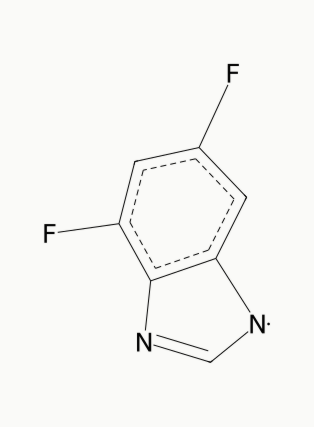 Fc1cc(F)c2c(c1)[N]C=N2